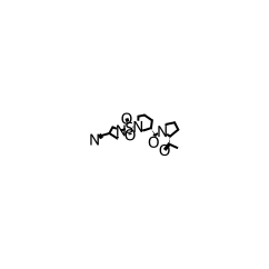 CC(=O)[C@H]1CCCN1C(=O)[C@H]1CCCN(S(=O)(=O)N2CC(C#N)C2)C1